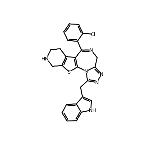 Clc1ccccc1C1=NCc2nnc(Cc3c[nH]c4ccccc34)n2-c2sc3c(c21)CCNC3